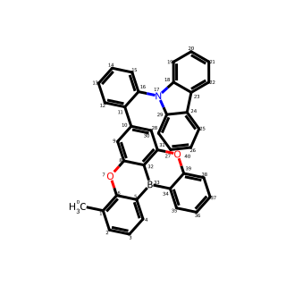 Cc1cccc2c1Oc1cc(-c3ccccc3-n3c4ccccc4c4ccccc43)cc3c1B2c1ccccc1O3